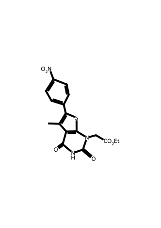 CCOC(=O)Cn1c(=O)[nH]c(=O)c2c(C)c(-c3ccc([N+](=O)[O-])cc3)sc21